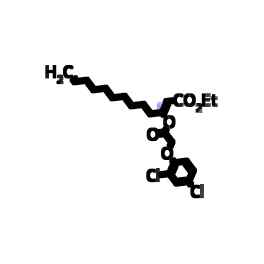 C=CCCCCCCCC/C(=C/C(=O)OCC)OC(=O)COc1ccc(Cl)cc1Cl